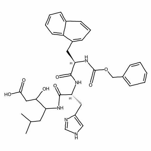 CC(C)CC(NC(=O)[C@@H](Cc1c[nH]cn1)NC(=O)[C@@H](Cc1cccc2ccccc12)NC(=O)OCc1ccccc1)C(O)CC(=O)O